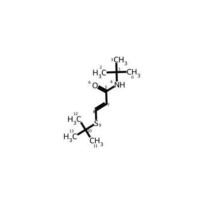 CC(C)(C)NC(=O)/C=C/SC(C)(C)C